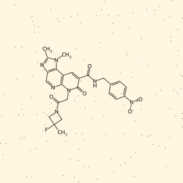 Cc1nc2cnc3c(cc(C(=O)NCc4ccc([N+](=O)[O-])cc4)c(=O)n3CC(=O)N3CC(C)(F)C3)c2n1C